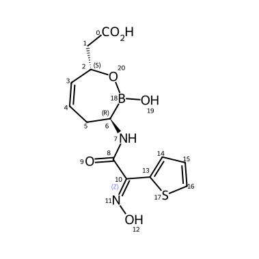 O=C(O)C[C@H]1C=CC[C@H](NC(=O)/C(=N/O)c2cccs2)B(O)O1